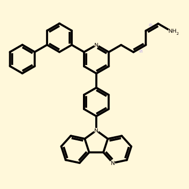 N/C=C\C=C/Cc1cc(-c2ccc(-n3c4ccccc4c4ncccc43)cc2)cc(-c2cccc(-c3ccccc3)c2)n1